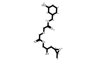 CCC(COC(=O)COCC(=O)OCC1CCCC(O)C1)CC1OC1C